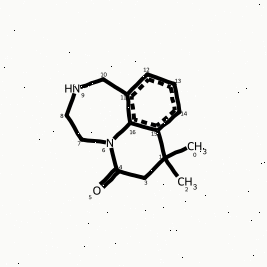 CC1(C)CC(=O)N2CCNCc3cccc1c32